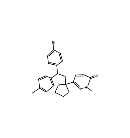 Cc1ccc(C(CC2(c3ccc(=O)n(C)n3)OCCO2)c2ccc(Br)cc2)cc1